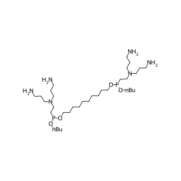 CCCCOP(CCN(CCCN)CCCN)OCCCCCCCCCCOP(CCN(CCCN)CCCN)OCCCC